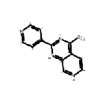 Bc1nc(-c2ccncc2)nc2cnccc12